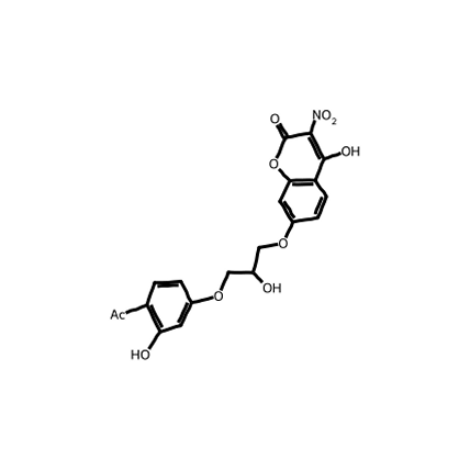 CC(=O)c1ccc(OCC(O)COc2ccc3c(O)c([N+](=O)[O-])c(=O)oc3c2)cc1O